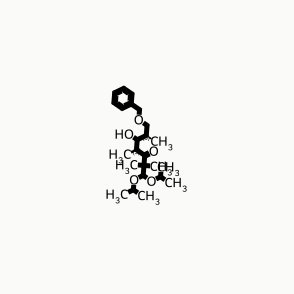 CC(C)OC(OC(C)C)C(C)(C)C(=O)[C@@H](C)C(O)[C@@H](C)COCc1ccccc1